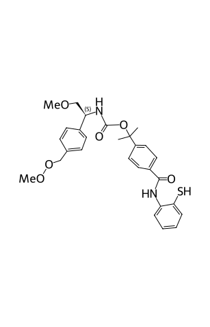 COC[C@@H](NC(=O)OC(C)(C)c1ccc(C(=O)Nc2ccccc2S)cc1)c1ccc(COOC)cc1